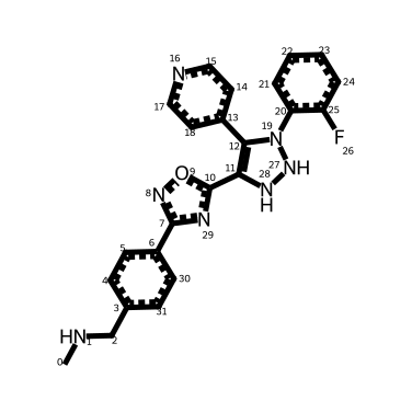 CNCc1ccc(-c2noc(C3=C(c4ccncc4)N(c4ccccc4F)NN3)n2)cc1